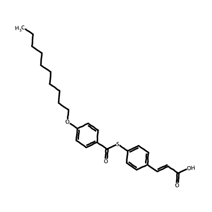 CCCCCCCCCCOc1ccc(C(=O)Sc2ccc(/C=C/C(=O)O)cc2)cc1